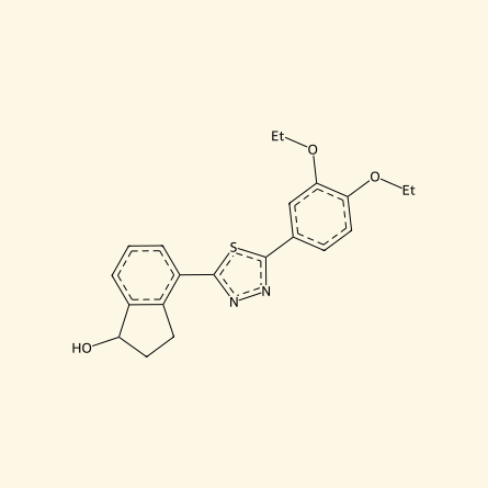 CCOc1ccc(-c2nnc(-c3cccc4c3CCC4O)s2)cc1OCC